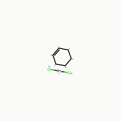 C1=CCCCC1.[Cl][Pt][Cl]